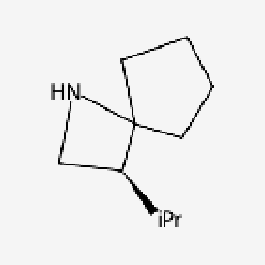 CC(C)[C@H]1CNC12CCCC2